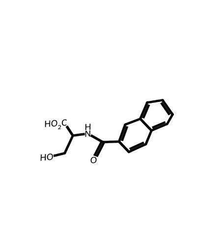 O=C(NC(CO)C(=O)O)c1ccc2ccccc2c1